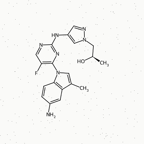 Cc1cn(-c2nc(Nc3cnn(C[C@@H](C)O)c3)ncc2F)c2ccc(N)cc12